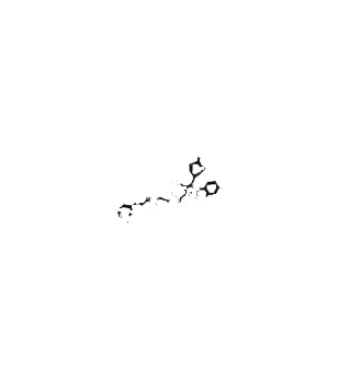 Cc1c(C(=O)NCCNC(=O)CCc2cccnc2)nn(-c2ccc(Cl)cc2Cl)c1-c1ccc(Cl)cc1